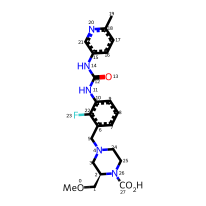 COC[C@H]1CN(Cc2cccc(NC(=O)Nc3ccc(C)nc3)c2F)CCN1C(=O)O